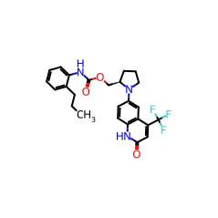 CCCc1ccccc1NC(=O)OC[C@H]1CCCN1c1ccc2[nH]c(=O)cc(C(F)(F)F)c2c1